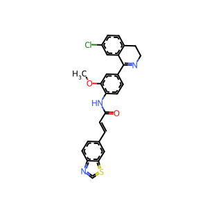 COc1cc(C2=NCCc3ccc(Cl)cc32)ccc1NC(=O)/C=C/c1ccc2ncsc2c1